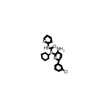 Nc1ccc(-c2cccc(Cl)c2)nc1N(C(=O)Nc1ccccn1)C1CCCCC1